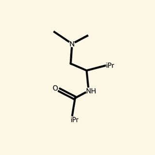 CC(C)C(=O)NC(CN(C)C)C(C)C